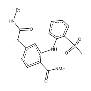 CCNC(=O)Nc1cc(Nc2ccccc2S(C)(=O)=O)c(C(=O)NC)cn1